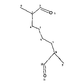 CC(C=O)CCCCC(C)C=O